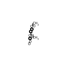 C=CC(=O)Oc1ccc2cc(C(=O)Oc3ccc(OC=O)cc3OC)ccc2c1